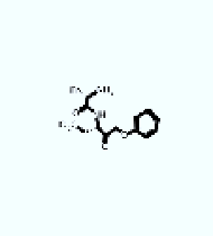 CC(C)[C@H](N)C(=O)N[C@@H](CC(=O)O)C(=O)COc1ccccc1